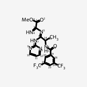 COC(=O)C(=N)/N=C(\Nc1ncccn1)C(C)NC(=O)c1cc(C(F)(F)F)cc(C(F)(F)F)c1